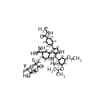 CCOc1cc(OC(C)C)c(F)c(C(Nc2ccc(C(=N)N)cc2)c2nc(-c3ccc(C(=O)NC)cc3)c[nH]2)c1.O=C(O)C(F)(F)F.O=C(O)C(F)(F)F